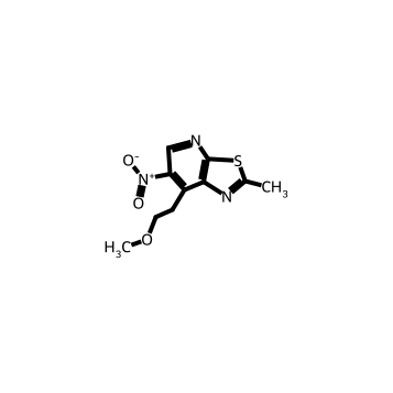 COCCc1c([N+](=O)[O-])cnc2sc(C)nc12